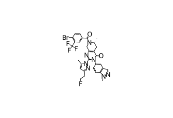 Cc1cc(CCF)nn1-c1nc2c(c(=O)n1-c1ccc3c(cnn3C)c1)C[C@@H](C)N(C(=O)c1ccc(Br)c(C(F)(F)F)c1)C2